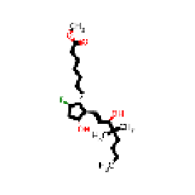 CCCCC(C)(C)[C@H](O)C=C[C@@H]1[C@@H](CCCCCCC(=O)OC)[C@H](F)C[C@H]1O